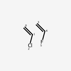 C=CCl.C=CF